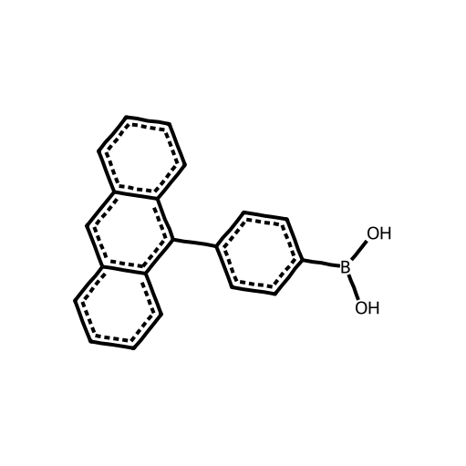 OB(O)c1ccc(-c2c3ccccc3cc3ccccc23)cc1